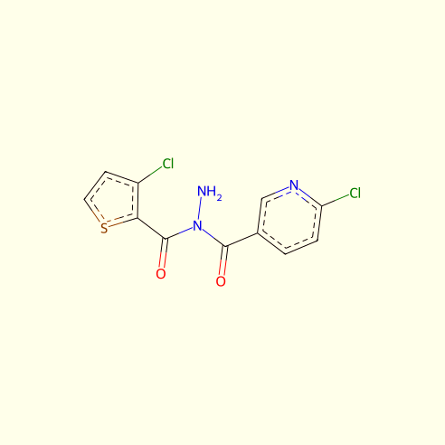 NN(C(=O)c1ccc(Cl)nc1)C(=O)c1sccc1Cl